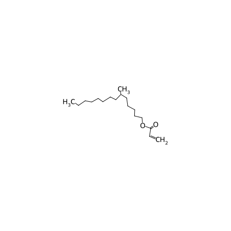 C=CC(=O)OCCCCCC(C)CCCCCCCC